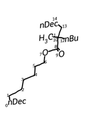 CCCCCCCCCCCCCCCCOC(=O)C(C)(CCCC)CCCCCCCCCCC